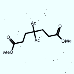 COC(=O)CCC(CCC(=O)OC)(C(C)=O)C(C)=O